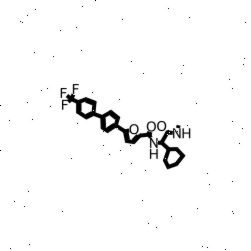 CNC(=O)C(NC(=O)c1ccc(-c2ccc(-c3ccc(C(F)(F)F)cc3)cc2)o1)C1CCCCC1